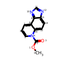 COC(=O)n1cccc2c3ncnc3ccc21